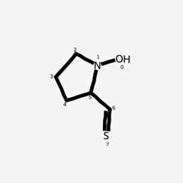 ON1CCCC1C=S